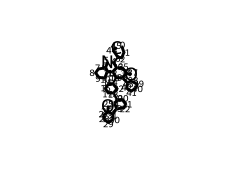 c1ccc(-c2nc3ccccc3c3c(-c4cccc(-c5cccc6c5oc5ccccc56)c4)c4c(cc23)oc2ccccc24)cc1